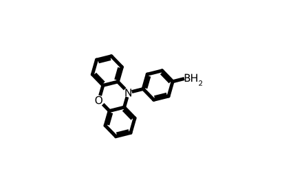 Bc1ccc(N2c3ccccc3Oc3ccccc32)cc1